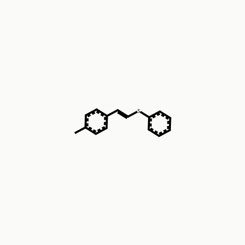 Cc1ccc(C=CSc2ccccc2)cc1